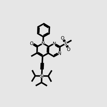 Cc1c(C#C[Si](C(C)C)(C(C)C)C(C)C)c2cnc(S(C)(=O)=O)nc2n(-c2ccccc2)c1=O